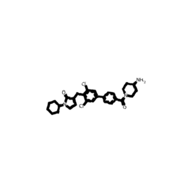 NC1CCN(C(=O)c2ccc(-c3cc(Cl)c(CC4CCN(C5CCCCC5)C4=O)c(Cl)c3)cc2)CC1